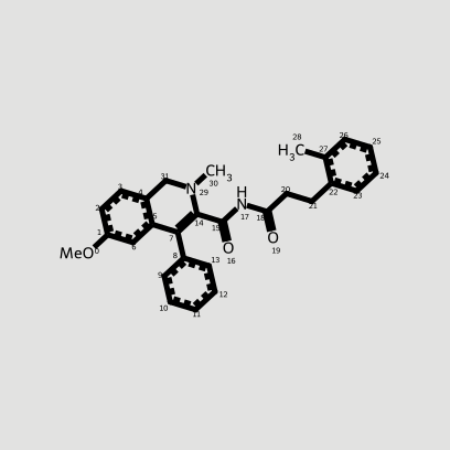 COc1ccc2c(c1)C(c1ccccc1)=C(C(=O)NC(=O)CCc1ccccc1C)N(C)C2